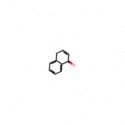 O=C1C=C[C]c2ccccc21